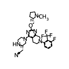 CN1CCC[C@H]1COc1nc2c(c(N3CCN[C@@H](CC#N)C3)n1)CCN(c1cccc(F)c1C(F)(F)F)C2